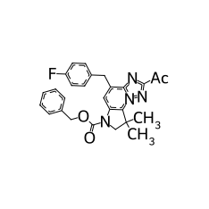 CC(=O)c1nc2c(Cc3ccc(F)cc3)cc3c(n2n1)C(C)(C)CN3C(=O)OCc1ccccc1